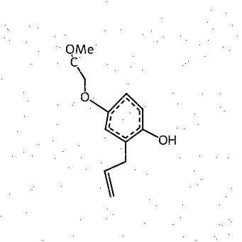 C=CCc1cc(OCCOC)ccc1O